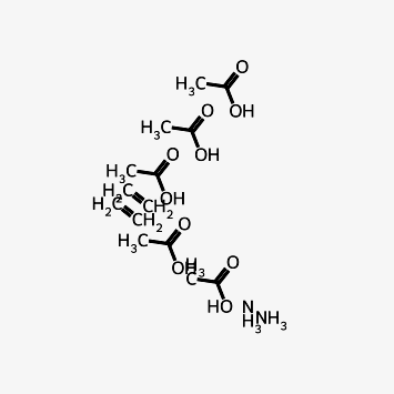 C=C.C=C.CC(=O)O.CC(=O)O.CC(=O)O.CC(=O)O.CC(=O)O.N.N